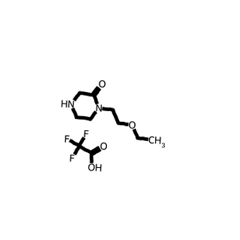 CCOCCN1CCNCC1=O.O=C(O)C(F)(F)F